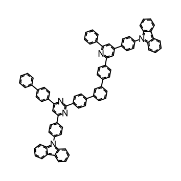 c1ccc(-c2ccc(-c3cc(-c4ccc(-n5c6ccccc6c6ccccc65)cc4)nc(-c4ccc(-c5cccc(-c6ccc(-c7cc(-c8ccc(-n9c%10ccccc%10c%10ccccc%109)cc8)cc(-c8ccccc8)n7)cc6)c5)cc4)n3)cc2)cc1